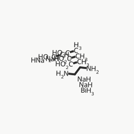 CC(=O)O.CC(=O)O.CC(=O)O.CC(=O)O.NCCN.[BiH3].[NaH].[NaH].[NaH].[NaH]